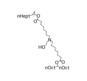 CCCCCCCCC(CCCCCCCC)OC(=O)CCCCCCCN(CCO)CCCCCCCC(=O)OC1CC1CCCCCCC